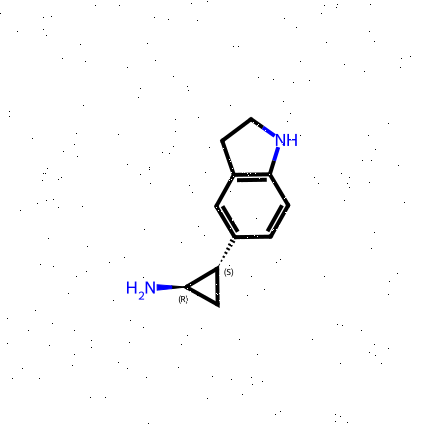 N[C@@H]1C[C@H]1c1ccc2c(c1)CCN2